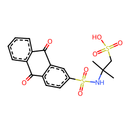 CC(C)(CS(=O)(=O)O)NS(=O)(=O)c1ccc2c(c1)C(=O)c1ccccc1C2=O